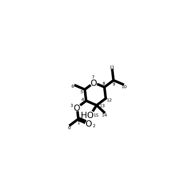 CC(=O)OC1C(C)OC(C(C)C)CC1(C)O